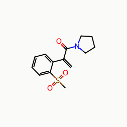 C=C(C(=O)N1CCCC1)c1ccccc1S(C)(=O)=O